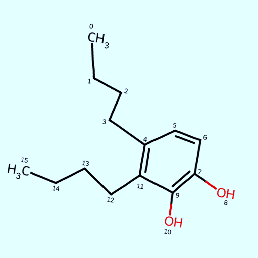 CCCCc1ccc(O)c(O)c1CCCC